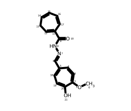 COC1=C=CC(/C=N/NC(=O)C2=CCC=CC=C2)=CC=C1O